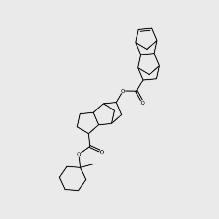 CC1(OC(=O)C2CCC3C4CC(CC4OC(=O)C4CC5CC4C4C6C=CC(C6)C54)C23)CCCCC1